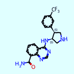 NC(=O)c1cccc2c(N[C@@H]3CNC[C@@H]3c3cccc(C(F)(F)F)c3)ncnc12